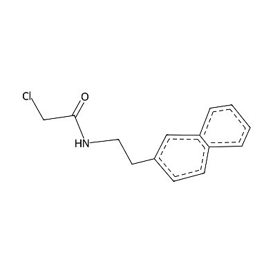 O=C(CCl)NCCc1ccc2ccccc2c1